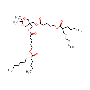 CCCCCCC(CCCC)C(=O)OCCCCC(=O)OCC1(COC(=O)CCCCOC(=O)C(CCCC)CCCCCC)COC(C)(C)OC1